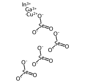 O=[Se]([O-])[O-].O=[Se]([O-])[O-].O=[Se]([O-])[O-].O=[Se]([O-])[O-].[Cu+2].[Ga+3].[In+3]